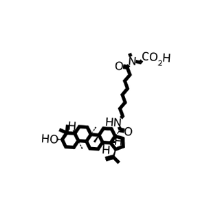 C=C(C)[C@@H]1CC[C@]2(C(=O)NCCCCCCCC(=O)N(C)CC(=O)O)CC[C@]3(C)[C@H](CCC4[C@@]5(C)CC[C@H](O)C(C)(C)[C@@H]5CC[C@]43C)[C@@H]12